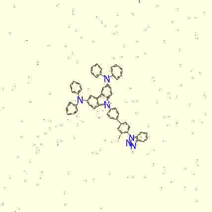 Cc1cc(-c2ccc(-n3c4ccc(N(c5ccccc5)c5ccccc5)cc4c4cc(N(c5ccccc5)c5ccccc5)ccc43)cc2)ccc1-n1nnc2ccccc21